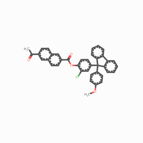 COc1ccc(C2(c3ccc(OC(=O)c4ccc5cc(C(C)=O)ccc5c4)c(Cl)c3)c3ccccc3-c3ccccc32)cc1